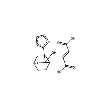 O=C(O)/C=C/C(=O)O.OC1(c2cccs2)CN2CCC1CC2